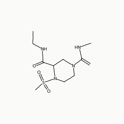 C=C(NC)N1CCN(S(C)(=O)=O)C(C(=O)NCC)C1